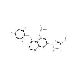 CCN1C(CO)=NN(c2cc(OC(C)C(F)(F)F)c3c(Oc4c(F)cc(F)cc4Cl)nccc3c2)C1O